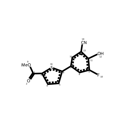 COC(=O)c1ccc(-c2cc(F)c(O)c(C#N)c2)s1